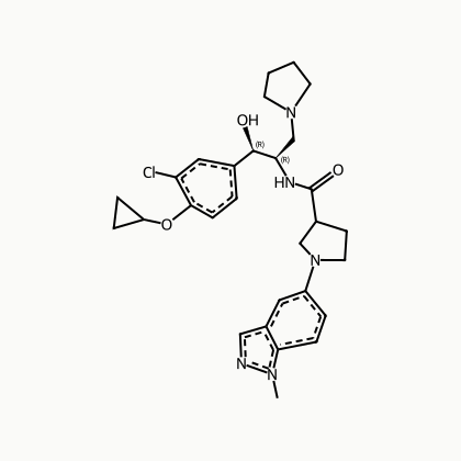 Cn1ncc2cc(N3CCC(C(=O)N[C@H](CN4CCCC4)[C@H](O)c4ccc(OC5CC5)c(Cl)c4)C3)ccc21